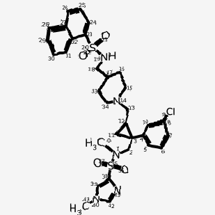 CN(C[C@@]1(c2cccc(Cl)c2)C[C@H]1CN1CCC(CNS(=O)(=O)c2cccc3ccccc23)CC1)S(=O)(=O)c1cn(C)cn1